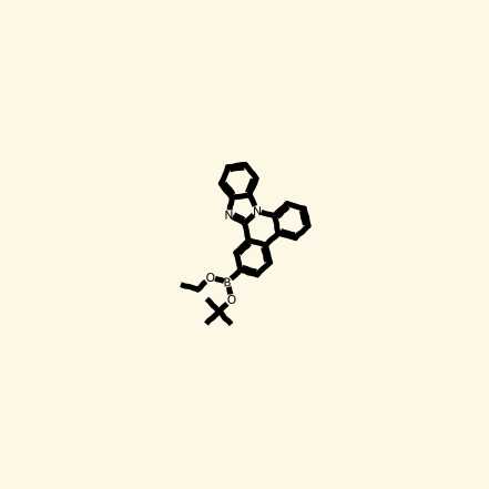 CCOB(OC(C)(C)C)c1ccc2c3ccccc3n3c4ccccc4nc3c2c1